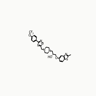 Cc1nc2cc(OC[C@H](O)CN3CCN(Cc4nc(-c5ccc(OC(F)(F)F)cc5)no4)CC3)ccc2s1